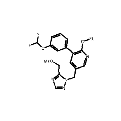 CCOc1ncc(Cn2ncnc2COC)cc1-c1cccc(OC(F)F)c1